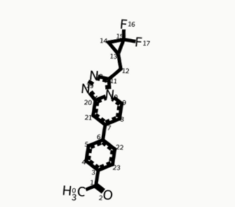 CC(=O)c1ccc(-c2ccn3c(CC4CC4(F)F)nnc3c2)cc1